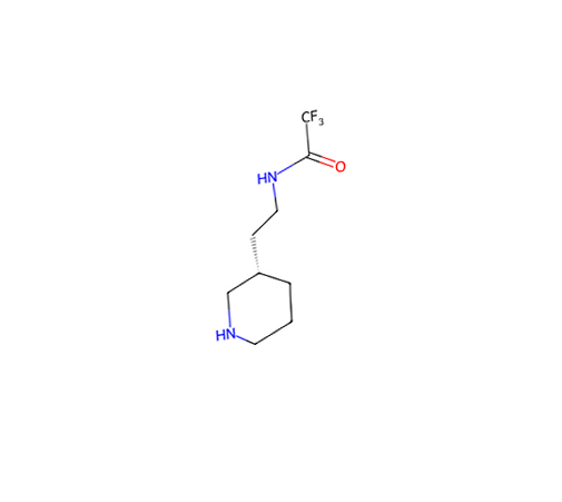 O=C(NCC[C@@H]1CCCNC1)C(F)(F)F